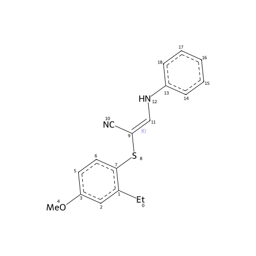 CCc1cc(OC)ccc1S/C(C#N)=C/Nc1ccccc1